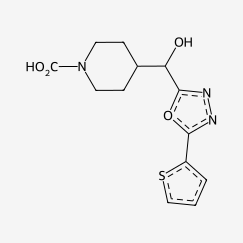 O=C(O)N1CCC(C(O)c2nnc(-c3cccs3)o2)CC1